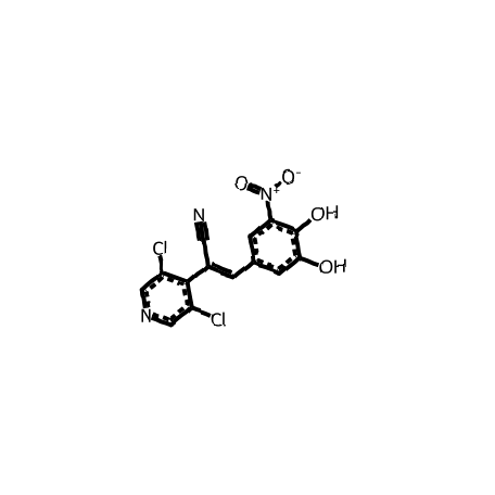 N#CC(=Cc1cc(O)c(O)c([N+](=O)[O-])c1)c1c(Cl)cncc1Cl